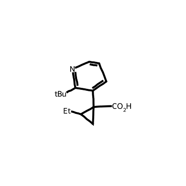 CCC1CC1(C(=O)O)c1cccnc1C(C)(C)C